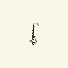 NCCCCCCCCCC(=O)CC(=O)N[C@H]1CCOC1=O